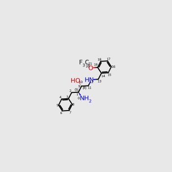 N[C@@H](Cc1ccccc1)[C@H](O)CNCc1ccccc1OC(F)(F)F